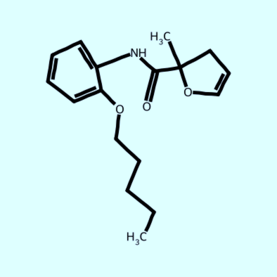 CCCCCOc1ccccc1NC(=O)C1(C)CC=CO1